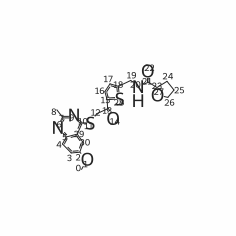 COc1ccc2nc(C)nc(SCC(=O)c3ccc(CNC(=O)C4CCCO4)s3)c2c1